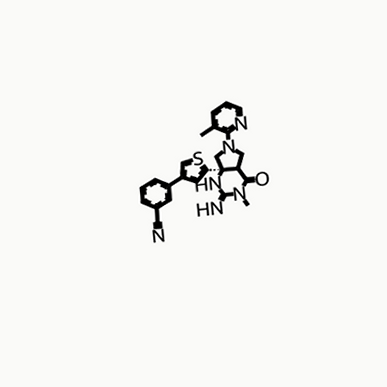 Cc1cccnc1N1CC2C(=O)N(C)C(=N)N[C@@]2(c2cc(-c3cccc(C#N)c3)cs2)C1